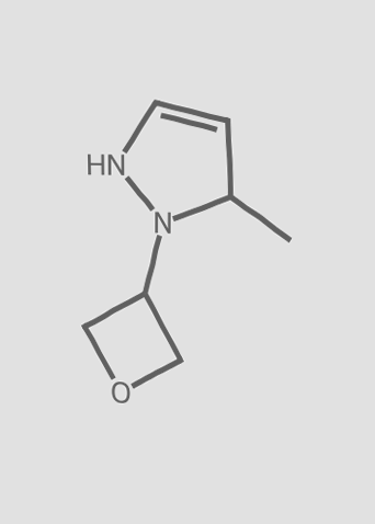 CC1C=CNN1C1COC1